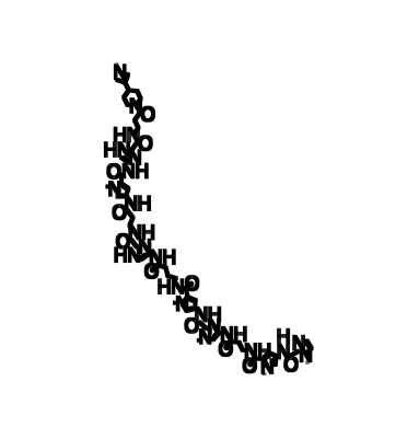 CN1CC(C2CCN(C(=O)CCNC(=O)c3nc(NC(=O)c4cc(NC(=O)CCNC(=O)c5nc(NC(=O)CCCNC(=O)c6cc(NC(=O)c7nc(NC(=O)CCNC(=O)c8cc(NC(=O)c9nccn9C)cn8C)cn7C)cn6C)c[nH]5)cn4C)c[nH]3)CC2)C1